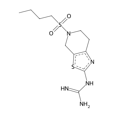 CCCCS(=O)(=O)N1CCc2nc(NC(=N)N)sc2C1